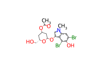 CC(=O)OC1CC(Oc2cn(C)c3cc(Br)c(O)c(Br)c23)O[C@H](CO)C1